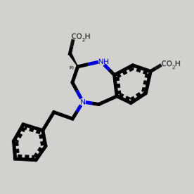 O=C(O)C[C@@H]1CN(CCc2ccccc2)Cc2ccc(C(=O)O)cc2N1